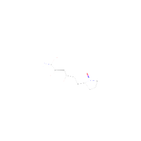 NC(O)C(O)CC(O)CCC1CCC[N+]1=O